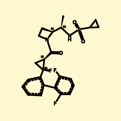 C[C@H](NS(=O)(=O)C1CC1)[C@@H]1CCN1C(=O)[C@@H]1C[C@@]1(F)c1ccccc1-c1c(F)cccc1F